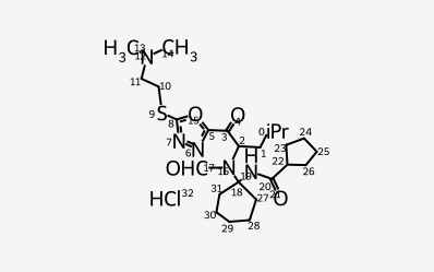 CC(C)CC(C(=O)c1nnc(SCCN(C)C)o1)N(C=O)C1(NC(=O)C2CCCC2)CCCCC1.Cl